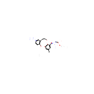 CC(C)(C)OC(=O)CNC(=O)c1cc(CC(=O)O)cc2c1OCCCc1cc(N)ccc1C(=O)O2